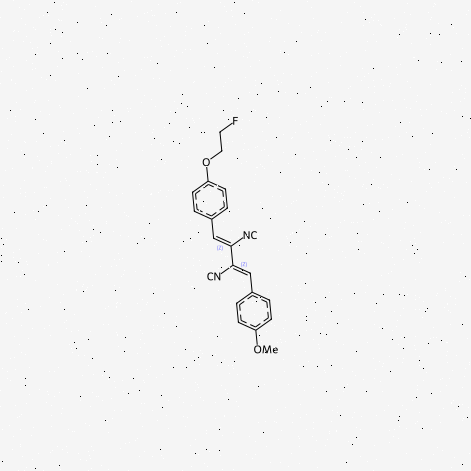 [C-]#[N+]C(=C\c1ccc(OC)cc1)/C(=C/c1ccc(OCCF)cc1)[N+]#[C-]